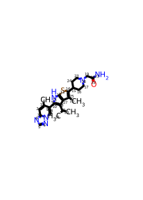 Cc1cc2ncnn2cc1-c1[nH]c2sc(C3CCN(CC(N)=O)CC3)c(C)c2c1C(C)C